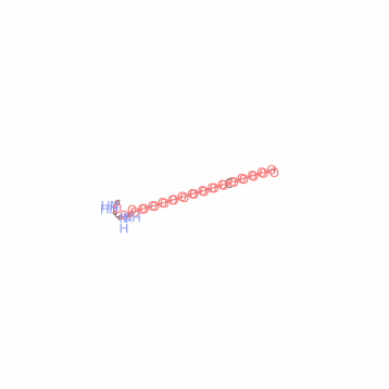 CC(=O)OCCCCOOCCCCOOCCCCOOCCCCOOCCCCOOCCCCOOCCCCOOCCCCOOCCCCOOCCCCOOCCCCOOCCCCOOCCCCOOCCCCOC(=O)c1ccc(NC(=O)Nc2ccc(Cc3ccc(NC(=O)Nc4ccc(C)cc4)cc3)cc2)cc1